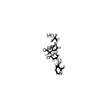 Cc1ncccc1Oc1cnn(C(C)(C(N)=O)c2ccn(CC(C)(C)O)n2)c(=O)c1